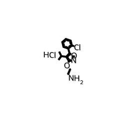 CC(C)c1c(OCCN)noc1-c1ccccc1Cl.Cl